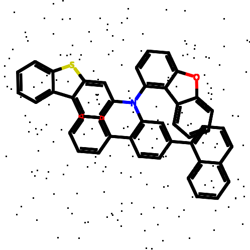 c1ccc(-c2ccc(-c3cccc4ccccc34)cc2N(c2ccc3c(c2)sc2ccccc23)c2cccc3oc4ccccc4c23)cc1